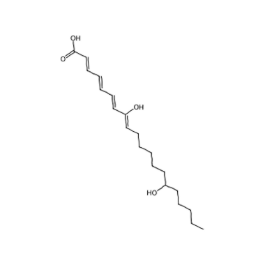 CCCCCC(O)CCCCCC=C(O)C=CC=CC=CC(=O)O